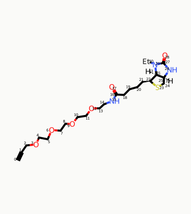 C#CCOCCOCCOCCOCCNC(=O)CCCC[C@@H]1SC[C@@H]2NC(=O)N(CC)[C@@H]21